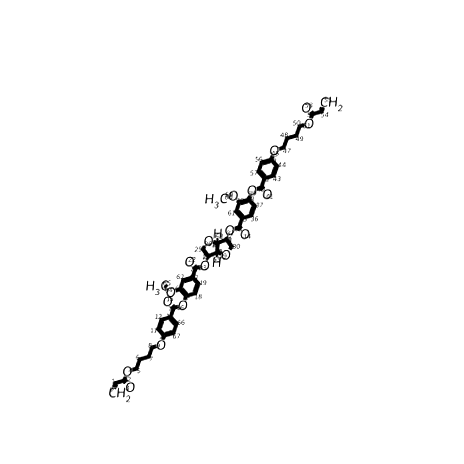 C=CC(=O)OCCCCOc1ccc(C(=O)Oc2ccc(C(=O)O[C@H]3CO[C@H]4[C@@H]3OC[C@H]4OC(=O)c3ccc(OC(=O)c4ccc(OCCCCOC(=O)C=C)cc4)c(OC)c3)cc2OC)cc1